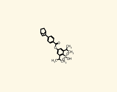 CC(C)c1cc(OC(=O)c2ccc(C3CC4CCC3C4)cc2)cc(C(C)C)c1S(=O)(=O)O